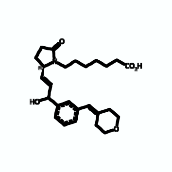 O=C(O)CCCCCCN1C(=O)CC[C@@H]1C=CC(O)c1cccc(C=C2CCOCC2)c1